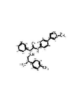 C[C@@H](CN[C@@H](C(=O)Nc1ccc(-c2cnn(C)c2)cn1)c1ccccc1)c1ccc(C(F)(F)F)cc1